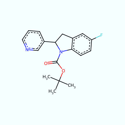 CC(C)(C)OC(=O)N1c2ccc(F)cc2CC1c1cccnc1